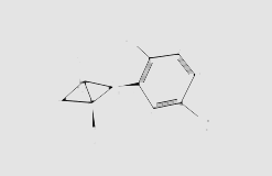 CCOC(=O)[C@@]12C[C@H]1[C@H]2c1cc(O)ccc1O